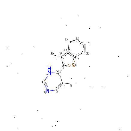 CC1=CN=CNC1c1sc2ccccc2c1C